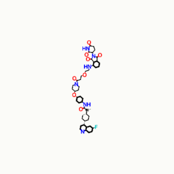 C[C@@H](C(=O)Nc1ccc(OC2CCN(C(=O)CCOCCNc3cccc4c3C(=O)N(C3CCC(=O)NC3=O)C4=O)CC2)cc1)[C@H]1CC[C@@H](c2ccnc3ccc(F)cc32)CC1